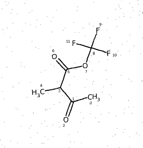 CC(=O)C(C)C(=O)OC(F)(F)F